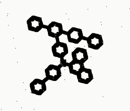 C1=CC(c2ccc(-c3ccccc3)cc2-c2ccc(N(c3ccc(-c4ccccc4)cc3)c3cc4ccccc4c4ccccc34)cc2)CC=C1c1ccccc1